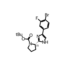 CC(C)(C)OC(=O)N1CCC[C@H]1c1nc(-c2ccc(Br)c(F)c2)c[nH]1